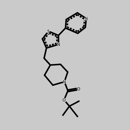 CC(C)(C)OC(=O)N1CCC(Cc2csc(-c3ccncc3)n2)CC1